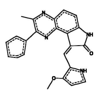 COc1cc[nH]c1C=C1C(=O)Nc2ccc3nc(C)c(-c4ccccc4)nc3c21